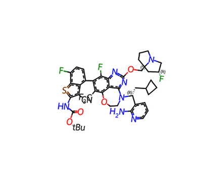 CC(C)(C)OC(=O)Nc1sc2c(F)ccc(-c3c(C(F)(F)F)c4c5c(nc(OC[C@@]67CCCN6C[C@H](F)C7)nc5c3F)N([C@H](CC3CCC3)c3cccnc3N)CCO4)c2c1C#N